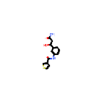 NC(=O)CC(O)c1cccc(NC(=O)c2ccsc2)c1